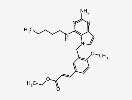 CCCCCNc1nc(N)nc2ccn(Cc3cc(C=CC(=O)OCC)ccc3OC)c12